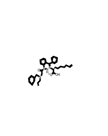 C=CCCCCC[C@H](/N=C(\c1ccccc1)c1ccccc1N(N)C(=O)CN(CCC)Cc1ccccc1)C(=O)O